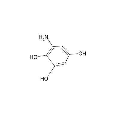 Nc1cc(O)cc(O)c1O